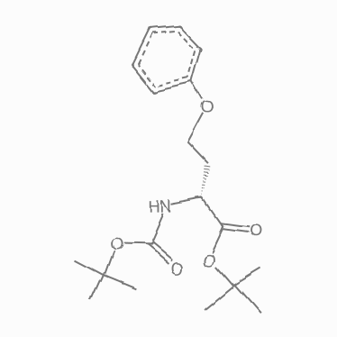 CC(C)(C)OC(=O)N[C@H](CCOc1ccccc1)C(=O)OC(C)(C)C